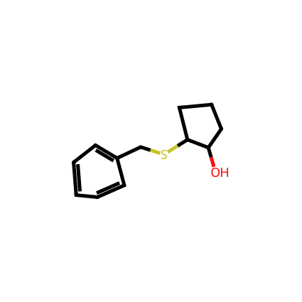 OC1CCCC1SCc1ccccc1